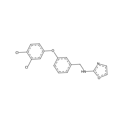 Clc1ccc(Oc2cccc(CNc3ncco3)c2)cc1Cl